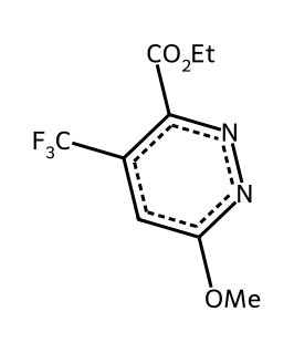 CCOC(=O)c1nnc(OC)cc1C(F)(F)F